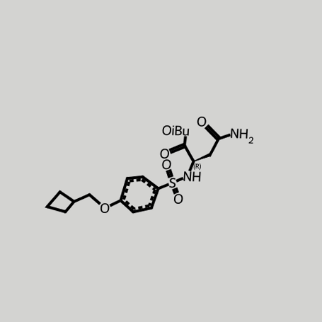 CC(C)COC(=O)[C@@H](CC(N)=O)NS(=O)(=O)c1ccc(OCC2CCC2)cc1